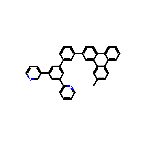 Cc1ccc2c3ccccc3c3ccc(-c4cccc(-c5cc(-c6cccnc6)cc(-c6ccccn6)c5)c4)cc3c2c1